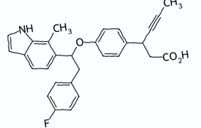 CC#CC(CC(=O)O)c1ccc(OC(Cc2ccc(F)cc2)c2ccc3cc[nH]c3c2C)cc1